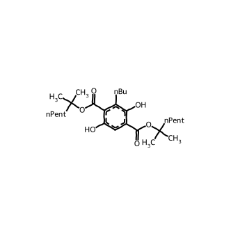 CCCCCC(C)(C)OC(=O)c1cc(O)c(C(=O)OC(C)(C)CCCCC)c(CCCC)c1O